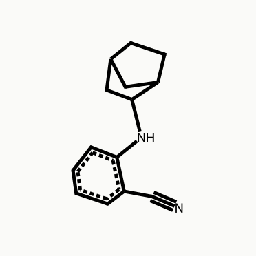 N#Cc1ccccc1NC1CC2CCC1C2